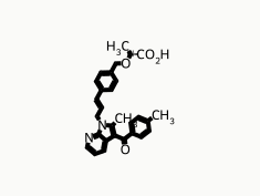 Cc1ccc(C(=O)c2c(C)n(CC=Cc3ccc(CO[C@H](C)C(=O)O)cc3)c3ncccc23)cc1